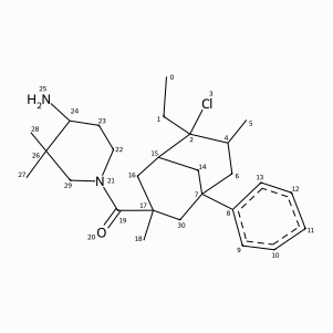 CCC1(Cl)C(C)CC2(c3ccccc3)CC1CC(C)(C(=O)N1CCC(N)C(C)(C)C1)C2